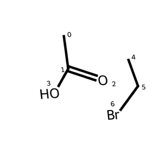 CC(=O)O.CCBr